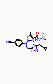 Cc1sc(N(Cc2nc(CC3CC3)no2)c2ccc(C#N)cc2)nc1C(=O)N[S+](C)[O-]